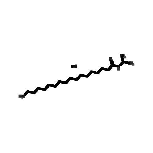 CCCCCCCCCCCCCCCCCC(=O)NC(C)N.Cl